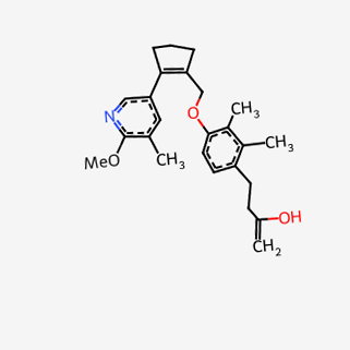 C=C(O)CCc1ccc(OCC2=C(c3cnc(OC)c(C)c3)CCC2)c(C)c1C